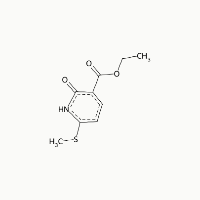 CCOC(=O)c1ccc(SC)[nH]c1=O